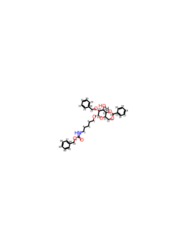 O=C(NCCCCCO[C@H]1OC2COC(c3ccccc3)O[C@@H]2[C@H](O)C1OCc1ccccc1)OCc1ccccc1